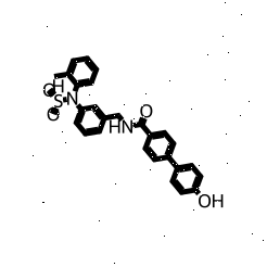 Cc1ccccc1N(c1cccc(CNC(=O)c2ccc(-c3ccc(O)cc3)cc2)c1)[SH](=O)=O